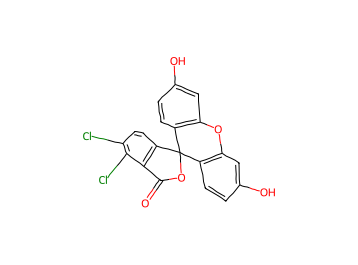 O=C1OC2(c3ccc(O)cc3Oc3cc(O)ccc32)c2ccc(Cl)c(Cl)c21